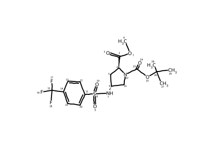 COC(=O)[C@@H]1C[C@@H](NS(=O)(=O)c2ccc(C(F)(F)F)cc2)CN1C(=O)OC(C)(C)C